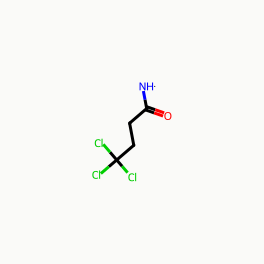 [NH]C(=O)CCC(Cl)(Cl)Cl